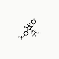 Cc1cnccc1CN1C(=O)N(c2ccc(SC(F)(F)F)cc2)C(=O)C1(C)C.O=C(O)C(F)(F)F